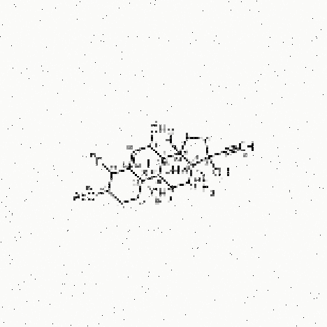 C#CC1(O)CC[C@H]2[C@@H]3C(O)C=C4C(F)C(OC(C)=O)CC[C@]4(C)[C@@H]3CC[C@@]21C